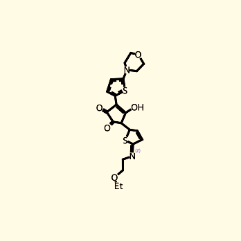 CCOCC/N=C1/C=CC(C2C(=O)C(=O)C(c3ccc(N4CCOCC4)s3)=C2O)S1